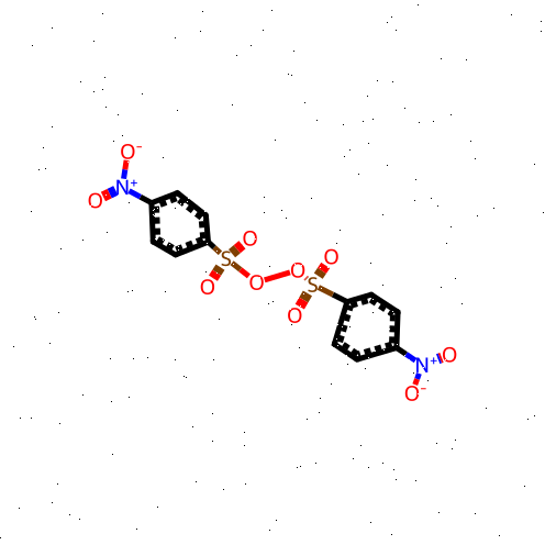 O=[N+]([O-])c1ccc(S(=O)(=O)OOS(=O)(=O)c2ccc([N+](=O)[O-])cc2)cc1